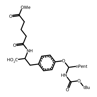 CCCCCC(NC(=O)OC(C)(C)C)Oc1ccc(CC(NC(=O)CCCC(=O)OC)C(=O)O)cc1